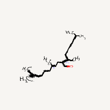 CC(C)=CCC/C(C)=C/C/C(C=O)=C(/C)CCC=C(C)C